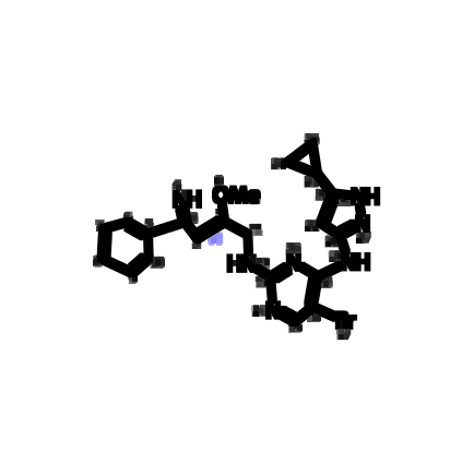 CO/C(=C\C(=N)c1ccccc1)CNc1ncc(Br)c(Nc2cc(C3CC3)[nH]n2)n1